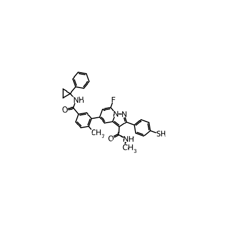 CNC(=O)c1c(-c2ccc(S)cc2)nn2c(F)cc(-c3cc(C(=O)NC4(c5ccccc5)CC4)ccc3C)cc12